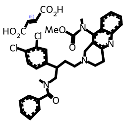 COC(=O)N(C)c1c2c(nc3ccccc13)CCN(CCC(CN(C)C(=O)c1ccccc1)c1ccc(Cl)c(Cl)c1)C2.O=C(O)/C=C/C(=O)O